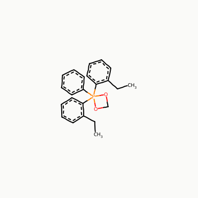 CCc1ccccc1P1(c2ccccc2)(c2ccccc2CC)OCO1